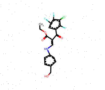 CCOC(=O)/C(=C\Nc1ccc(CO)cc1)C(=O)c1cc(F)c(F)c(Cl)c1F